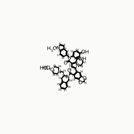 Cl.Cl.Cn1ccc2cc(N(C(=O)c3cc(-c4cc5c(cc4C(=O)N4Cc6ccccc6C[C@H]4CN4CCOCC4)OCO5)n4c3CNCC4)c3ccc(O)cc3)ccc21